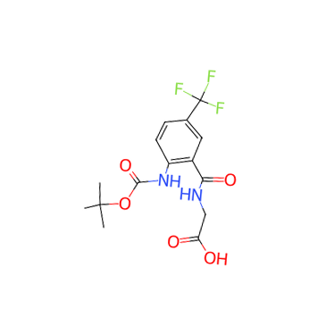 CC(C)(C)OC(=O)Nc1ccc(C(F)(F)F)cc1C(=O)NCC(=O)O